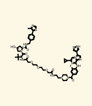 Cc1ncsc1-c1ccc(CNC(=O)[C@@H]2C[C@@H](O)CN2C(=O)[C@@H](NC(=O)COCCOCCOCC(=O)NCCN2CCN(C(=O)c3ccc(Nc4nc(C5CC5)cn5c(-c6cn[nH]c6)cnc45)c(F)c3)CC2)C(C)(C)C)cc1